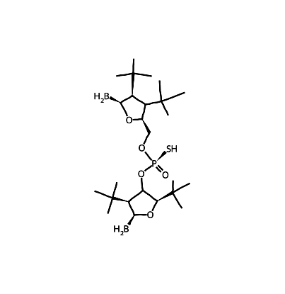 B[C@@H]1O[C@H](C(C)(C)C)C(O[P@](=O)(S)OC[C@H]2O[C@@H](B)[C@@H](C(C)(C)C)C2C(C)(C)C)[C@@H]1C(C)(C)C